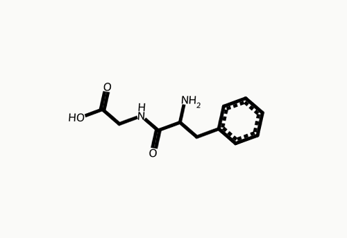 NC(Cc1ccccc1)C(=O)NCC(=O)O